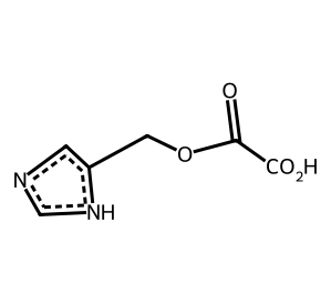 O=C(O)C(=O)OCc1cnc[nH]1